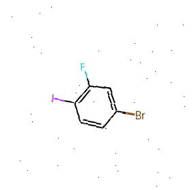 Fc1cc(Br)[c]cc1I